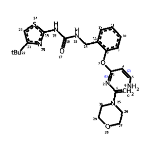 C=C(/N=C(\C=C/N)Oc1ccccc1CNC(=O)Nc1nc(C(C)(C)C)cs1)N1CCOCC1